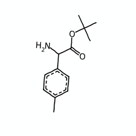 Cc1ccc(C(N)C(=O)OC(C)(C)C)cc1